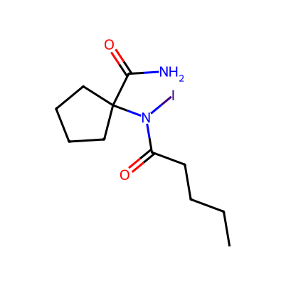 CCCCC(=O)N(I)C1(C(N)=O)CCCC1